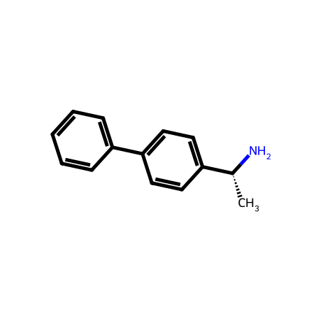 C[C@@H](N)c1ccc(-c2ccccc2)cc1